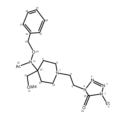 CCn1nnn(CCN2CCC(COC)(N(OCc3ccccc3)C(C)=O)CC2)c1=O